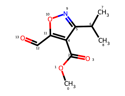 COC(=O)c1c(C(C)C)noc1C=O